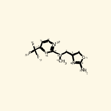 CN(CC1COC(N)=N1)c1nccc(C(F)(F)F)n1